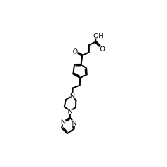 O=C(O)CCC(=O)c1ccc(CCN2CCN(c3ncccn3)CC2)cc1